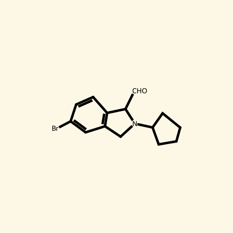 O=CC1c2ccc(Br)cc2CN1C1CCCC1